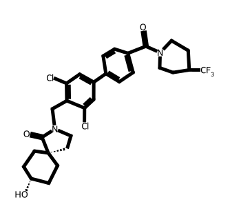 O=C(c1ccc(-c2cc(Cl)c(CN3CC[C@]4(CC[C@@H](O)CC4)C3=O)c(Cl)c2)cc1)N1CCC(C(F)(F)F)CC1